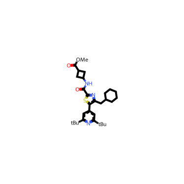 COC(=O)C1CC(NC(=O)c2nc(CC3CCCCC3)c(-c3cc(C(C)(C)C)nc(C(C)(C)C)c3)s2)C1